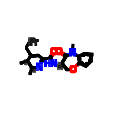 CC(C)CC1=CC(C(=O)N[C@H]2COc3ccccc3N(C)C2=O)=N[C@@H](C)[C@H]1C